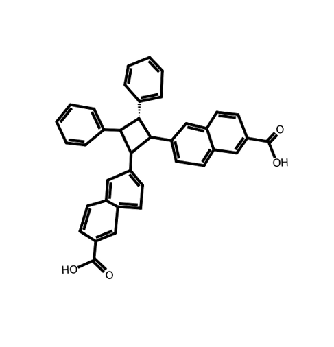 O=C(O)c1ccc2cc(C3C(c4ccccc4)[C@H](c4ccccc4)C3c3ccc4cc(C(=O)O)ccc4c3)ccc2c1